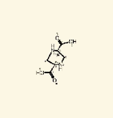 O=C(O)[C@H]1CN[C@@H](C(=O)O)CN1